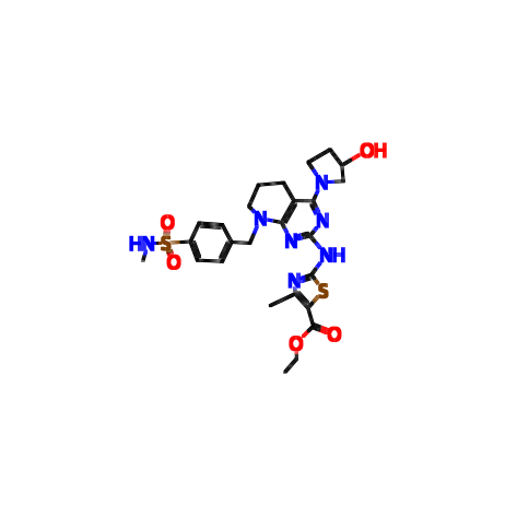 CCOC(=O)c1sc(Nc2nc3c(c(N4CCC(O)C4)n2)CCCN3Cc2ccc(S(=O)(=O)NC)cc2)nc1C